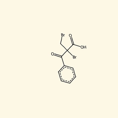 O=C(O)C(Br)(CBr)C(=O)c1ccccc1